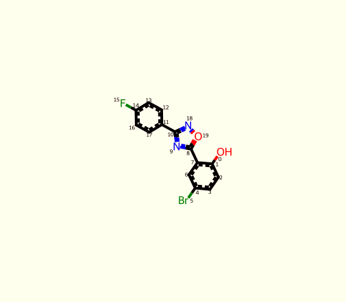 Oc1ccc(Br)cc1-c1nc(-c2ccc(F)cc2)no1